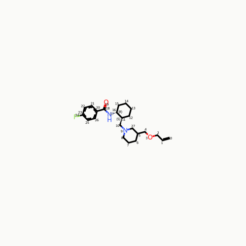 C=CCOCC1CCCN(C[C@@H]2CCCC[C@H]2NC(=O)c2ccc(F)cc2)C1